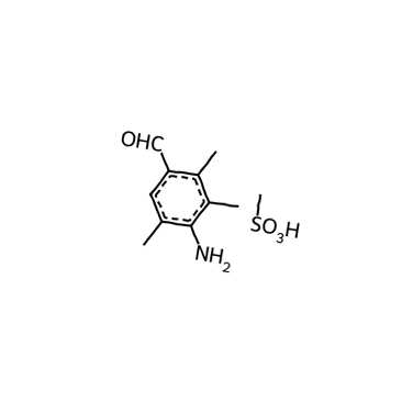 CS(=O)(=O)O.Cc1cc(C=O)c(C)c(C)c1N